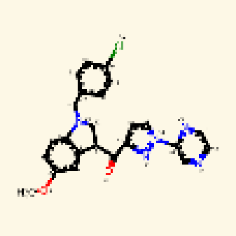 COc1ccc2c(c1)C(C(=O)c1ccn(-c3cnccn3)n1)CN2Cc1ccc(Cl)cc1